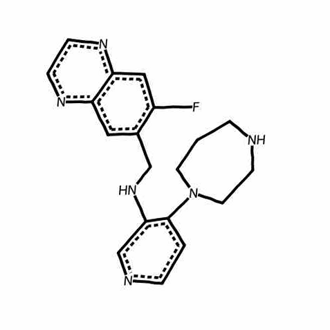 Fc1cc2nccnc2cc1CNc1cnccc1N1CCCNCC1